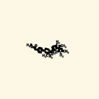 CCC(CC)(CC(C)C)c1nc(C(=O)N2CCN(c3ccc(CC(=O)OC)cn3)CC2(C)C)ccc1C